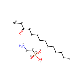 CCCCCCCCCCCC(=O)[CH2][Na].NCCS(=O)(=O)O